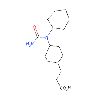 NC(=O)N(C1CCCCC1)C1CCC(CCC(=O)O)CC1